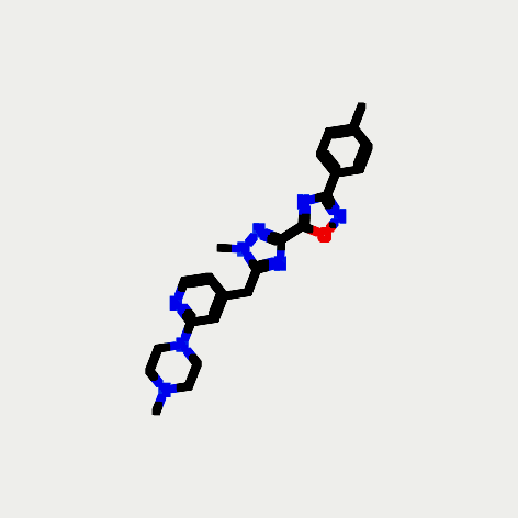 Cc1ccc(-c2noc(-c3nc(Cc4ccnc(N5CCN(C)CC5)c4)n(C)n3)n2)cc1